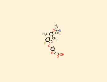 Cc1cc(OC(C)(C)C#N)cc(C)c1-c1ccc(F)c2c1CC[C@H]2Oc1ccc2c(c1)OC[C@H]2CC(=O)O